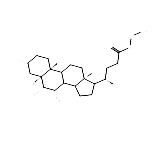 CCCONC(=O)CC[C@@H](C)C1CCC2C3C(CC[C@@]21C)[C@@]1(C)CC[C@@H](O)C[C@H]1[C@@H](CC)[C@H]3O